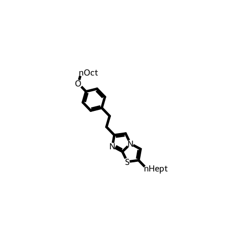 CCCCCCCCOc1ccc(CCc2cn3cc(CCCCCCC)sc3n2)cc1